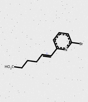 O=C(O)CCC/C=C/c1cccc(Br)n1